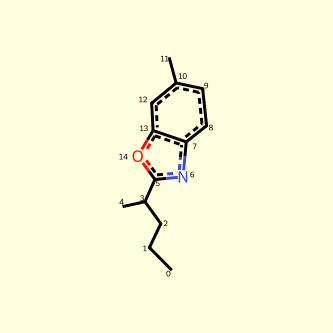 CCCC(C)c1nc2ccc(C)cc2o1